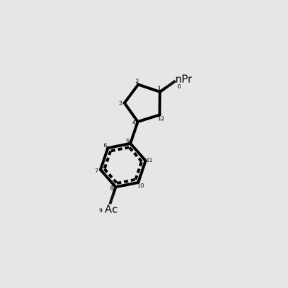 CCCC1CCC(c2ccc(C(C)=O)cc2)C1